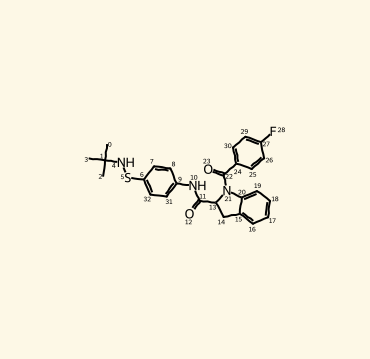 CC(C)(C)NSc1ccc(NC(=O)C2Cc3ccccc3N2C(=O)c2ccc(F)cc2)cc1